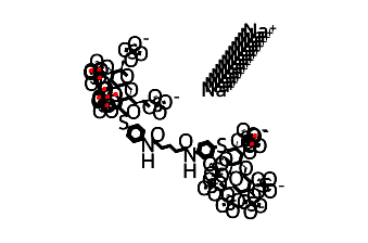 O=C(CCCC(=O)Nc1ccc(S[C@@H]2O[C@H](COS(=O)(=O)[O-])[C@@H](O[C@@H]3O[C@H](COS(=O)(=O)[O-])[C@@H](OS(=O)(=O)[O-])[C@H](OS(=O)(=O)[O-])[C@H]3OS(=O)(=O)[O-])[C@H](OS(=O)(=O)[O-])[C@H]2OS(=O)(=O)[O-])cc1)Nc1ccc(S[C@@H]2O[C@H](COS(=O)(=O)[O-])[C@@H](O[C@@H]3O[C@H](COS(=O)(=O)[O-])[C@@H](OS(=O)(=O)[O-])[C@H](OS(=O)(=O)[O-])[C@H]3OS(=O)(=O)[O-])[C@H](OS(=O)(=O)[O-])[C@H]2OS(=O)(=O)[O-])cc1.[Na+].[Na+].[Na+].[Na+].[Na+].[Na+].[Na+].[Na+].[Na+].[Na+].[Na+].[Na+].[Na+].[Na+]